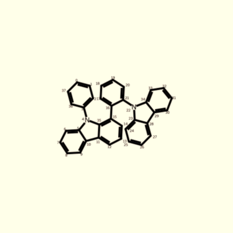 c1ccc(-n2c3ccccc3c3cccc(-c4ccccc4-n4c5ccccc5c5ccccc54)c32)cc1